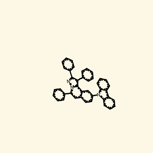 c1ccc(-c2nn3c(-c4ccccc4)cc4ccc(-n5c6ccccc6c6ccccc65)cc4c3c2-c2ccccc2)cc1